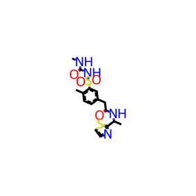 CNC(=O)NS(=O)(=O)c1cc(CC(=O)NC(C)c2nccs2)ccc1C